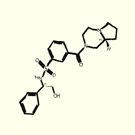 O=C(c1cccc(S(=O)(=O)N[C@H](CO)c2ccccc2)c1)N1CCN2CCC[C@@H]2C1